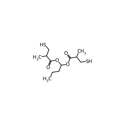 CCCC(OC(=O)C(C)CS)OC(=O)C(C)CS